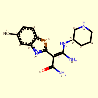 N#Cc1ccc2sc(/C(C(N)=O)=C(/N)N[C@@H]3CCCNC3)nc2c1